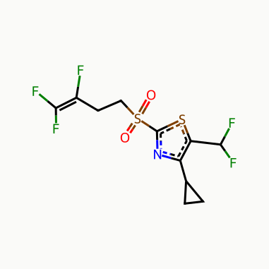 O=S(=O)(CCC(F)=C(F)F)c1nc(C2CC2)c(C(F)F)s1